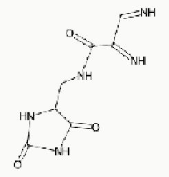 N=CC(=N)C(=O)NCC1NC(=O)NC1=O